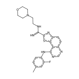 Cc1ccc(Nc2ncnc3ccc4nc(C(=N)NCCN5CCOCC5)sc4c23)c(F)c1